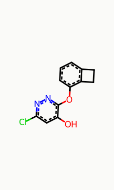 Oc1cc(Cl)nnc1Oc1cccc2c1CC2